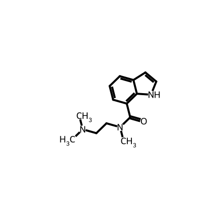 CN(C)CCN(C)C(=O)c1cccc2cc[nH]c12